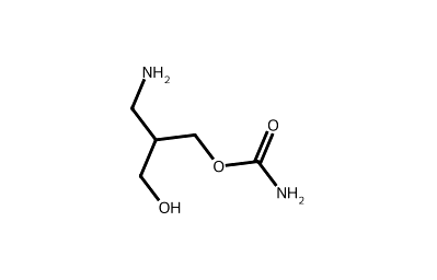 NCC(CO)COC(N)=O